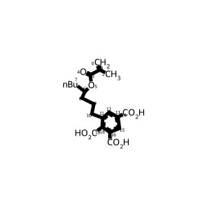 C=C(C)C(=O)OC(CCCC)CCCc1cc(C(=O)O)cc(C(=O)O)c1C(=O)O